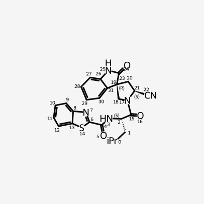 CC(C)C[C@H](NC(=O)c1nc2ccccc2s1)C(=O)N1C[C@]2(C[C@H]1C#N)C(=O)Nc1ccccc12